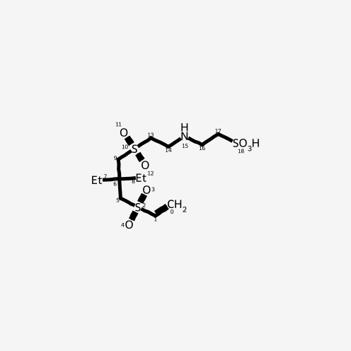 C=CS(=O)(=O)CC(CC)(CC)CS(=O)(=O)CCNCCS(=O)(=O)O